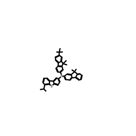 CC(C)c1cccc2c1sc1ccc(N(c3ccc4c(c3)C(C)(C)c3ccccc3-4)c3ccc4c(c3)C(C)(C)c3cc(C(C)(C)C)ccc3-4)cc12